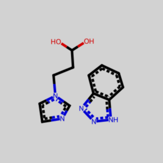 OC(O)CCn1ccnc1.c1ccc2[nH]nnc2c1